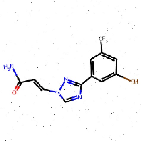 NC(=O)C=Cn1cnc(-c2cc(S)cc(C(F)(F)F)c2)n1